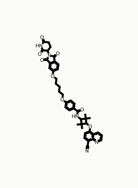 CC1(C)C(NC(=O)c2ccc(OCCCCCOc3ccc4c(c3)C(=O)N(C3CCC(=O)NC3=O)C4=O)cc2)C(C)(C)C1Oc1ccc(C#N)c2ncccc12